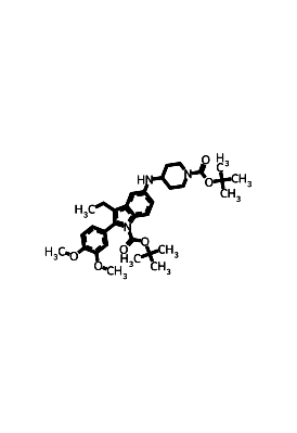 CCc1c(-c2ccc(OC)c(OC)c2)n(C(=O)OC(C)(C)C)c2ccc(NC3CCN(C(=O)OC(C)(C)C)CC3)cc12